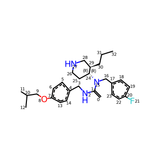 C=C(NCc1ccc(OCC(C)C)cc1)N(Cc1ccc(F)cc1)[C@@H]1CCNC[C@H]1CCC